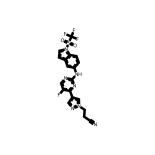 N#CCCn1cc(-c2nc(Nc3ccc4c(ccn4S(=O)(=O)C(F)(F)F)c3)ncc2F)cn1